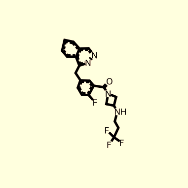 O=C(c1cc(Cc2nncc3ccccc23)ccc1F)N1CC(NCCC(F)(F)F)C1